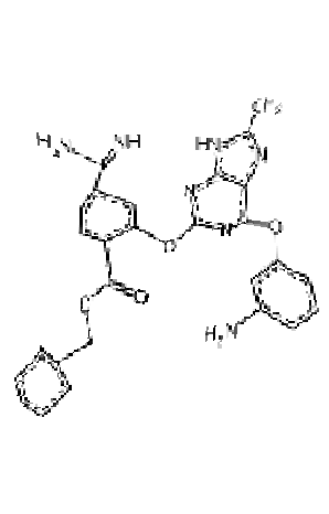 Cc1nc2c(Oc3cccc(N)c3)nc(Oc3cc(C(=N)N)ccc3C(=O)OCc3ccccc3)nc2[nH]1